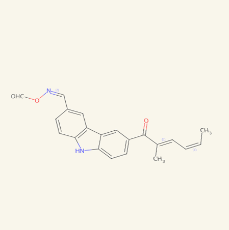 C/C=C\C=C(/C)C(=O)c1ccc2[nH]c3ccc(/C=N\OC=O)cc3c2c1